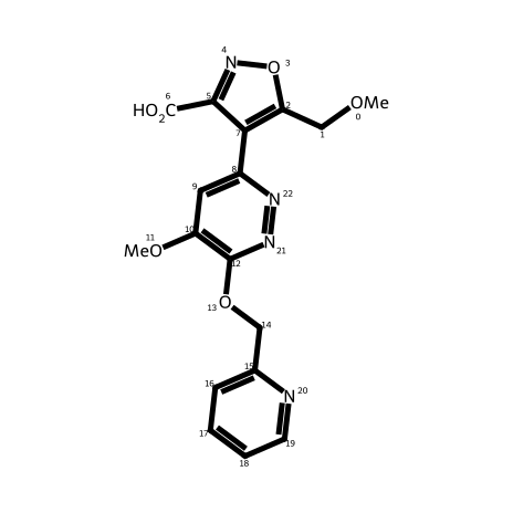 COCc1onc(C(=O)O)c1-c1cc(OC)c(OCc2ccccn2)nn1